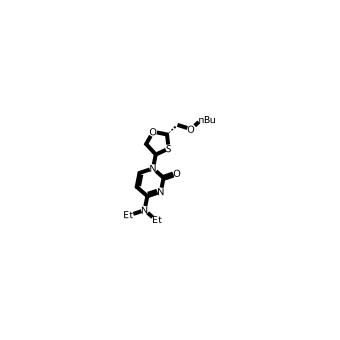 CCCCOC[C@H]1OCC(n2ccc(N(CC)CC)nc2=O)S1